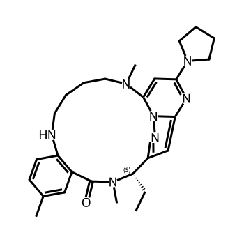 CC[C@H]1c2cc3nc(N4CCCC4)cc(n3n2)N(C)CCCCNc2ccc(C)cc2C(=O)N1C